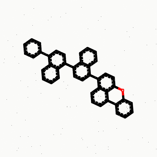 c1ccc(-c2ccc(-c3ccc(-c4ccc5c6c(cccc46)-c4ccccc4O5)c4ccccc34)c3ccccc23)cc1